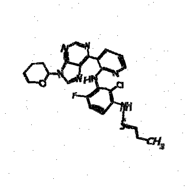 CCCSNc1ccc(F)c(Nc2ncccc2-c2ncnc3c2ncn3C2CCCCO2)c1Cl